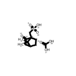 CC1(C)C2CCC1(CS(=O)(=O)O)C(=O)C2.O=C(O)O